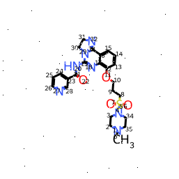 CN1CCN(S(=O)(=O)CCCOc2cccc3c2N=C(NC(=O)c2cccnc2)N2CCN=C32)CC1